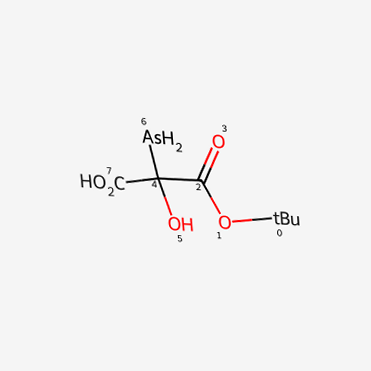 CC(C)(C)OC(=O)C(O)([AsH2])C(=O)O